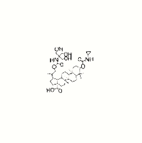 CC(COC(=O)NC(CO)(CO)CO)[C@@H]1CC[C@]2(C(=O)O)CC[C@]3(C)C(CCC4[C@@]5(C)CC[C@@H](OC(=O)NC6CC6)C(C)(C)C5CC[C@]43C)C12